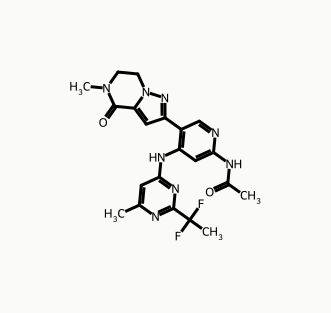 CC(=O)Nc1cc(Nc2cc(C)nc(C(C)(F)F)n2)c(-c2cc3n(n2)CCN(C)C3=O)cn1